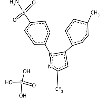 Cc1ccc(-c2cc(C(F)(F)F)nn2-c2ccc(S(N)(=O)=O)cc2)cc1.O=P(O)(O)O